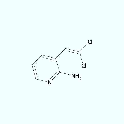 Nc1ncccc1C=C(Cl)Cl